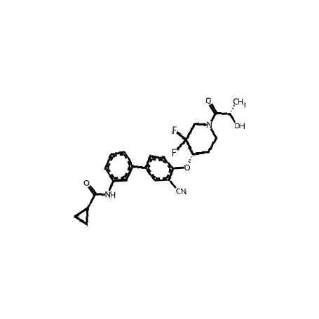 C[C@H](O)C(=O)N1CC[C@H](Oc2ccc(-c3cccc(NC(=O)C4CC4)c3)cc2C#N)C(F)(F)C1